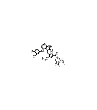 Cc1cc(C(=O)N2CC(C)NC(C)C2)[nH]c1/C=C1\C(=O)Nc2ncnc(Nc3ccc(F)c(Cl)c3)c21